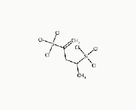 C=C(CC(C)[Si](Cl)(Cl)Cl)[Si](Cl)(Cl)Cl